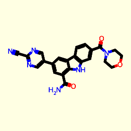 N#Cc1ncc(-c2cc(C(N)=O)c3[nH]c4cc(C(=O)N5CCOCC5)ccc4c3c2)cn1